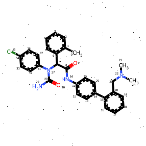 Cc1ccccc1C(C(=O)Nc1ccc(-c2ccccc2CN(C)C)cc1)N(C(N)=O)c1ccc(Cl)cc1